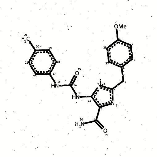 COc1ccc(Cc2nc(C(N)=O)c(NC(=O)Nc3ccc(C(F)(F)F)cc3)[nH]2)cc1